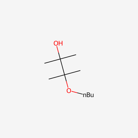 CCCCOC(C)(C)C(C)(C)O